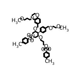 COCCCN1CCOc2ccc(CO[C@H]3CN(S(=O)(=O)c4ccc(C)cc4)C[C@@H](OCCCOS(=O)(=O)c4ccc(C)cc4)[C@@H]3c3ccc(COCCOC)cc3)cc21